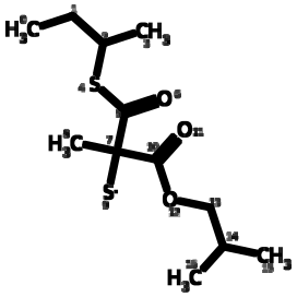 CCC(C)SC(=O)C(C)([S])C(=O)OCC(C)C